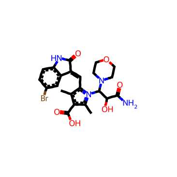 Cc1c(C(=O)O)c(C)n(C(C(O)C(N)=O)N2CCOCC2)c1C=C1C(=O)Nc2ccc(Br)cc21